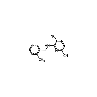 Cc1ccccc1CNc1nc(C#N)cnc1C#N